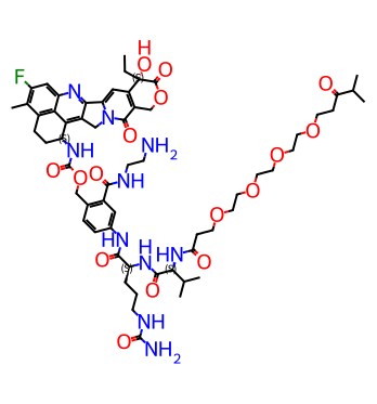 CC[C@@]1(O)C(=O)OCc2c1cc1n(c2=O)Cc2c-1nc1cc(F)c(C)c3c1c2[C@@H](NC(=O)OCc1ccc(NC(=O)[C@H](CCCNC(N)=O)NC(=O)[C@@H](NC(=O)CCOCCOCCOCCOCCC(=O)C(C)C)C(C)C)cc1C(=O)NCCN)CC3